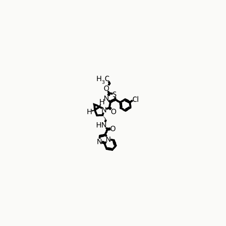 CCOc1nc(C(=O)N2[C@H](CNC(=O)c3cnc4ccccn34)C[C@@H]3C[C@@H]32)c(-c2cccc(Cl)c2)s1